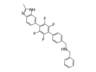 Cc1nc2ccc(-c3c(F)c(F)c(-c4ccc(CNCc5ccccc5)cc4)c(F)c3F)cc2[nH]1